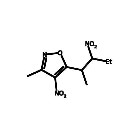 CCC(C(C)c1onc(C)c1[N+](=O)[O-])[N+](=O)[O-]